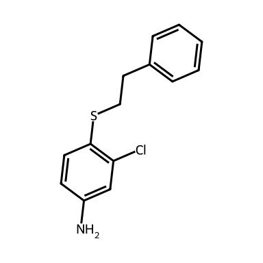 Nc1ccc(SCCc2ccccc2)c(Cl)c1